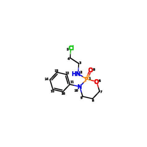 O=P1(NCCCl)OCCCN1c1ccccc1